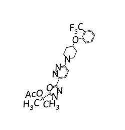 CC(=O)OC(C)(C)c1nnc(-c2ccc(N3CCC(Oc4ccccc4C(F)(F)F)CC3)nn2)o1